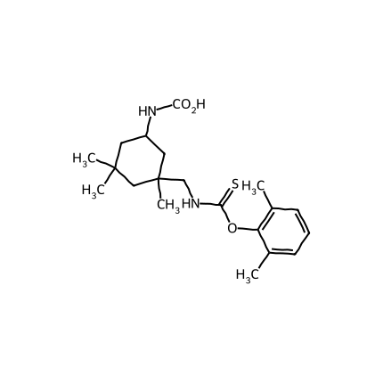 Cc1cccc(C)c1OC(=S)NCC1(C)CC(NC(=O)O)CC(C)(C)C1